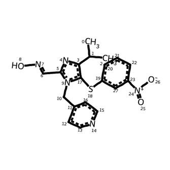 CC(C)c1nc(C=NO)n(Cc2ccncc2)c1Sc1cccc([N+](=O)[O-])c1